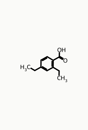 CCc1ccc(C(=O)O)c(CC)c1